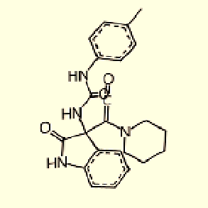 Cc1ccc(NC(=O)NC2(C(=C=O)N3CCCCC3)C(=O)Nc3ccccc32)cc1